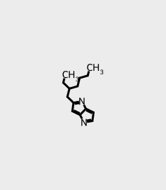 CCCCC(CC)CC1=NC2=CC=NC2=C1